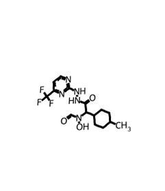 CC1CCC(C(C(=O)NNc2nccc(C(F)(F)F)n2)N(O)C=O)CC1